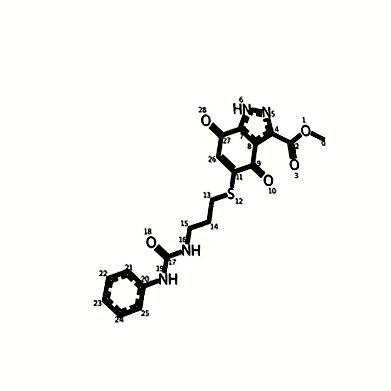 COC(=O)c1n[nH]c2c1C(=O)C(SCCCNC(=O)Nc1ccccc1)=CC2=O